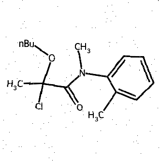 CCCCOC(C)(Cl)C(=O)N(C)c1ccccc1C